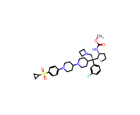 COC(=O)N[C@H]1CCC[C@@H]1[C@](CN1CCC1)(c1cccc(F)c1)C1CCN(C2CCN(c3ccc(S(=O)(=O)C4CC4)cc3)CC2)CC1